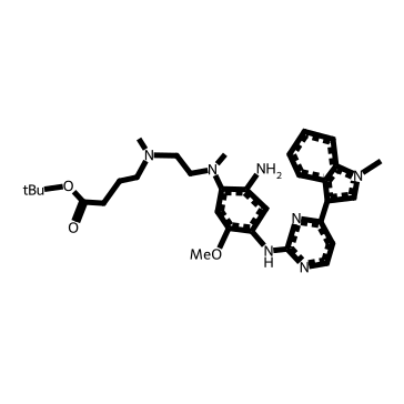 COc1cc(N(C)CCN(C)CCCC(=O)OC(C)(C)C)c(N)cc1Nc1nccc(-c2cn(C)c3ccccc23)n1